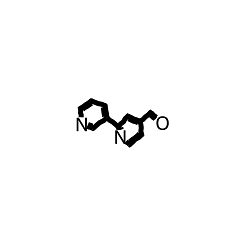 O=Cc1ccnc(-c2cccnc2)c1